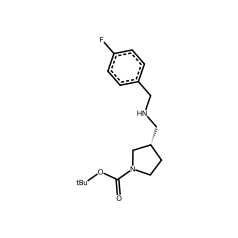 CC(C)(C)OC(=O)N1CC[C@@H](CNCc2ccc(F)cc2)C1